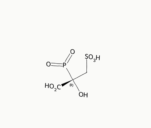 O=C(O)[C@](O)(CS(=O)(=O)O)P(=O)=O